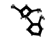 Cc1ccccc1-n1nc(O)cc1C